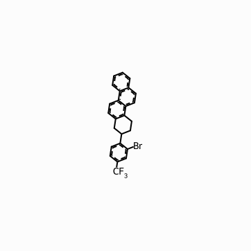 FC(F)(F)c1ccc(C2CCc3c(ccc4c3ccc3ccccc34)C2)c(Br)c1